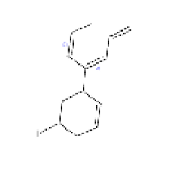 C=C/C=C(\C=C/C)C1C=CCC(I)C1